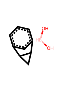 OBO.c1cc2cc(c1)C1CC21